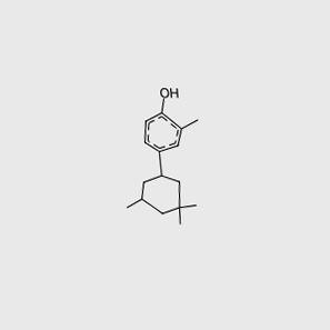 Cc1cc(C2CC(C)CC(C)(C)C2)ccc1O